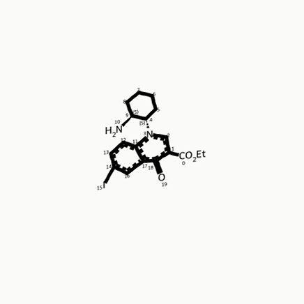 CCOC(=O)c1cn([C@H]2CCCC[C@@H]2N)c2ccc(I)cc2c1=O